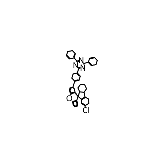 ClC1=CC2=C(CC1)C1CCCCC1C21C2=C(C=CC(C3=CC=C(c4nc(C5=CCCC=C5)nc(C5=CCCC=C5)n4)CC3)C2)Oc2ccccc21